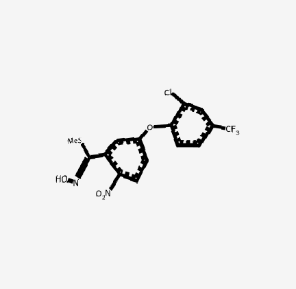 CSC(=NO)c1cc(Oc2ccc(C(F)(F)F)cc2Cl)ccc1[N+](=O)[O-]